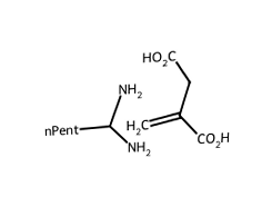 C=C(CC(=O)O)C(=O)O.CCCCCC(N)N